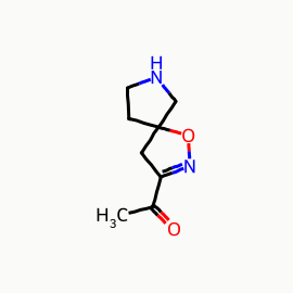 CC(=O)C1=NOC2(CCNC2)C1